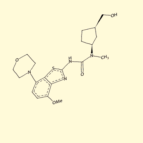 COc1ccc(N2CCOCC2)c2sc(NC(=O)N(C)[C@H]3CC[C@@H](CO)C3)nc12